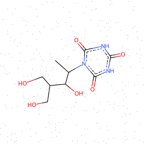 CC(C(O)C(CO)CO)n1c(=O)[nH]c(=O)[nH]c1=O